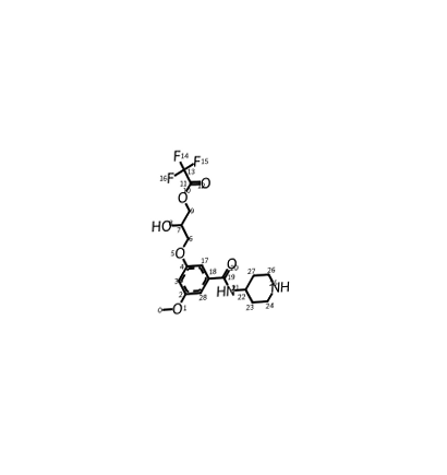 COc1cc(OCC(O)COC(=O)C(F)(F)F)cc(C(=O)NC2CCNCC2)c1